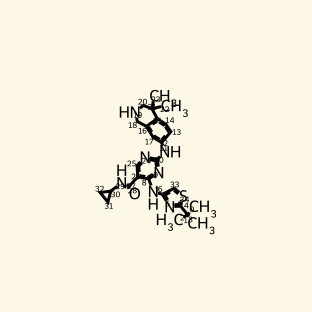 CC(C)(C)c1nc(Nc2nc(Nc3ccc4c(c3)CNCC4(C)C)ncc2C(=O)NC2CC2)cs1